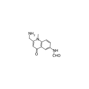 Cn1c(CN)cc(=O)c2cc(NC=O)ccc21